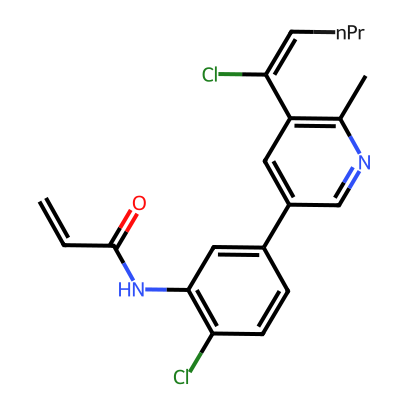 C=CC(=O)Nc1cc(-c2cnc(C)c(/C(Cl)=C\CCC)c2)ccc1Cl